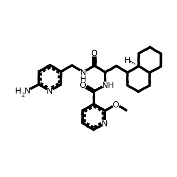 COc1ncccc1C(=O)NC(CC1CCCC2CCCC[C@@H]21)C(=O)NCc1ccc(N)nc1